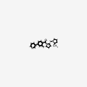 C[C@@H]1CCCN1C[C@@H]1CCCN1C(=O)c1ccc(-c2cccnc2)cc1F